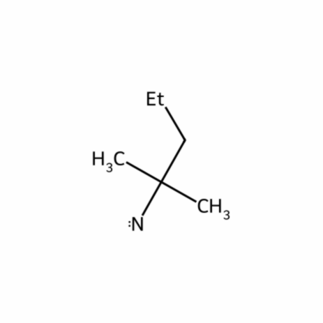 CCCC(C)(C)[N]